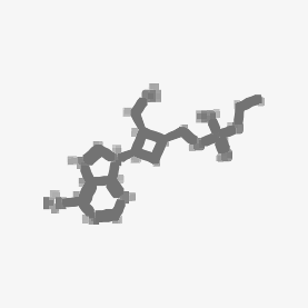 CCOP(=O)(O)OC[C@H]1C[C@@H](n2cnc3c(N)ncnc32)[C@H]1CO